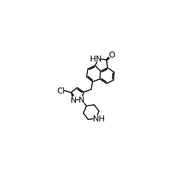 O=C1Nc2ccc(Cc3cc(Cl)nn3C3CCNCC3)c3cccc1c23